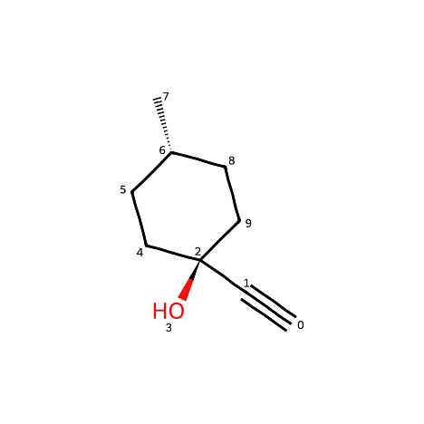 C#C[C@]1(O)CC[C@H](C)CC1